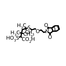 CC(C)(CC(C)(C)C(C(=O)O)S(=O)(=O)O)SCCOCCN1C(=O)C2C3C=CC(O3)C2C1=O